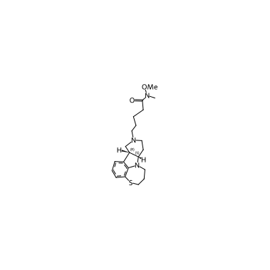 CON(C)C(=O)CCCCN1CC[C@H]2[C@@H](C1)c1cccc3c1N2CCCS3